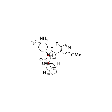 COc1cc(-c2cc(C(=O)N3[C@@H]4CC[C@H]3C[C@H](C(=O)NC3CCC(N)(C(F)(F)F)CC3)C4)n[nH]2)c(F)cn1